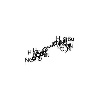 CCc1cc2c(cc1N1CCC(CCCCN3CC[C@@H](NC(=O)[C@H](CCCn4ccnc4[N+](=O)[O-])NC(=O)OC(C)(C)C)C3)CC1)C(C)(C)c1[nH]c3cc(C#N)ccc3c1C2=O